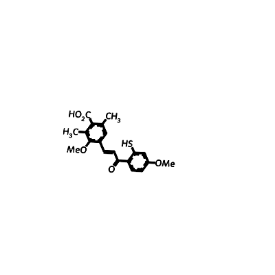 COc1ccc(C(=O)C=Cc2cc(C)c(C(=O)O)c(C)c2OC)c(S)c1